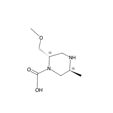 COC[C@@H]1CN[C@@H](C)CN1C(=O)O